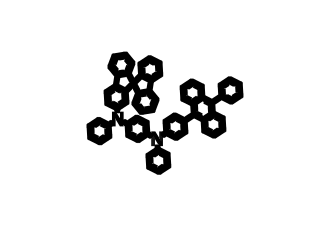 c1ccc(-c2c3ccccc3c(-c3ccc(N(c4ccccc4)c4ccc(N(c5ccccc5)c5ccc6c(c5)C5(c7ccccc7-c7ccccc75)c5ccccc5-6)cc4)cc3)c3ccccc23)cc1